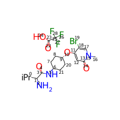 CC(C)C(N)C(=O)N[C@H]1CC[C@H](Oc2cc(=O)n(C)cc2Br)CC1.O=C(O)C(F)(F)F